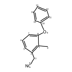 Cc1c(CC#N)cccc1Oc1ccccc1